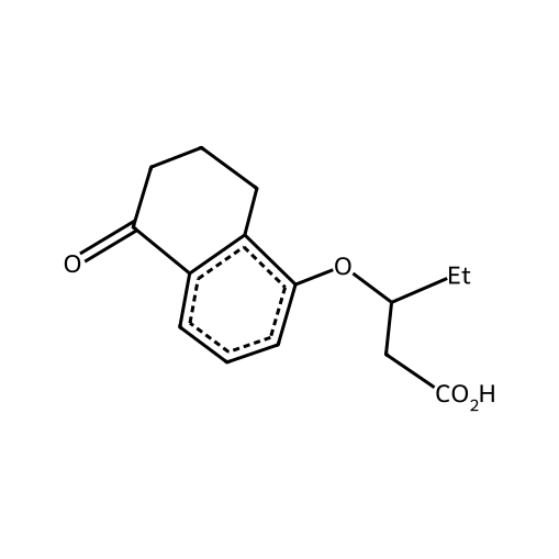 CCC(CC(=O)O)Oc1cccc2c1CCCC2=O